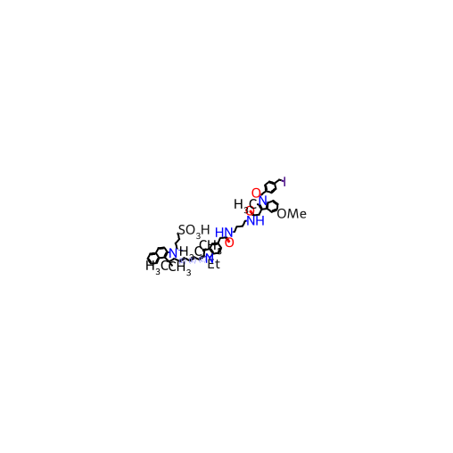 CCN1/C(=C/C=C/C=C/C2=[N+](CCCCS(=O)(=O)O)c3ccc4ccccc4c3C2(C)C)C(C)(C)c2cc(CC(=O)NCCCCNC(=O)Cc3c(C)n(C(=O)c4ccc(CI)cc4)c4ccc(OC)cc34)ccc21